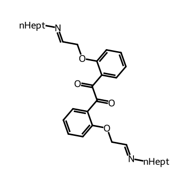 CCCCCCCN=CCOc1ccccc1C(=O)C(=O)c1ccccc1OCC=NCCCCCCC